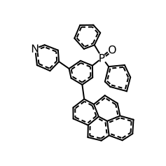 O=P(c1ccccc1)(c1ccccc1)c1cc(-c2ccncc2)cc(-c2ccc3ccc4cccc5ccc2c3c45)c1